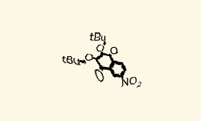 CC(C)(C)COC1=C(OCC(C)(C)C)C(=O)c2cc([N+](=O)[O-])ccc2C1=O